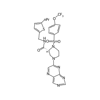 CCCc1ccc(CNC(=O)[C@H]2CN(c3cnc4cncnc4n3)CCN2S(=O)(=O)c2ccc(OC(F)(F)F)cc2)s1